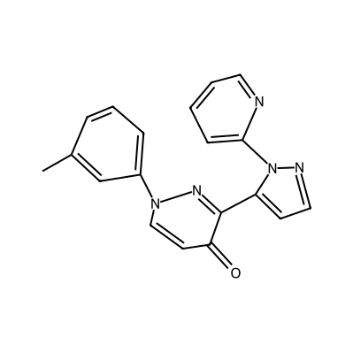 Cc1cccc(-n2ccc(=O)c(-c3ccnn3-c3ccccn3)n2)c1